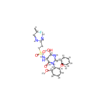 C=C(F)/C=N\C(CCS(=O)(=O)Nc1c(O)nc(-c2ccccc2)n(-c2c(OC)cccc2OC)c1=O)=N/C